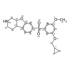 COc1cc(OCC2CC2)cc(S(=O)(=O)c2ccc3c(c2)OC2CNCCC32)c1